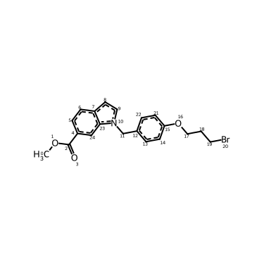 COC(=O)c1ccc2ccn(Cc3ccc(OCCCBr)cc3)c2c1